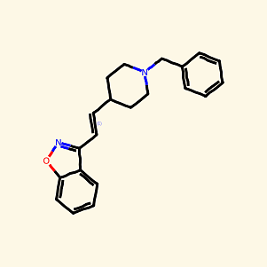 C(=C\C1CCN(Cc2ccccc2)CC1)/c1noc2ccccc12